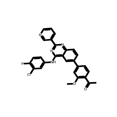 COc1cc(-c2ccc3nc(-c4cccnc4)nc(Nc4ccc(F)c(Cl)c4)c3c2)ccc1C(C)=O